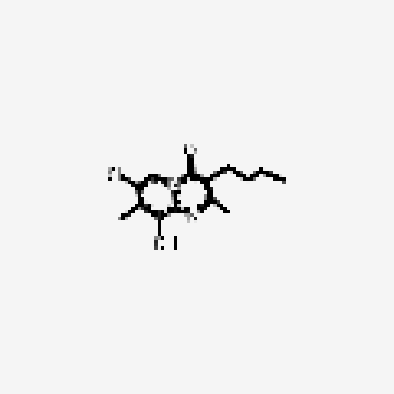 CCCCc1c(C)nc2c(O)c(C)c(Cl)cn2c1=O